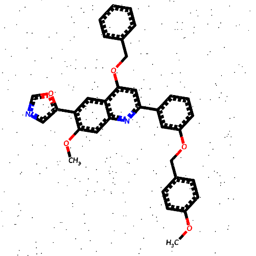 COc1ccc(COc2cccc(-c3cc(OCc4ccccc4)c4cc(-c5cnco5)c(OC)cc4n3)c2)cc1